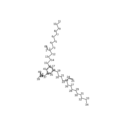 C=CC(CCCCCCCCC)CCCCc1cc(CCCCC(C=C)CCCCCCCCC)cc(CN(C)C)c1